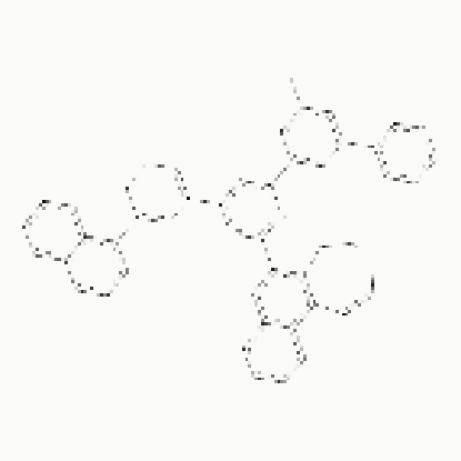 Cc1cc(-c2cccnc2)cc(-c2cc(C3=CCCC(c4cccc5ccccc45)=C3)nc(-c3cc4ccccc4c4c3CCCC=C4)n2)c1